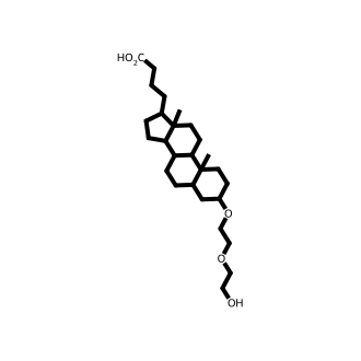 CC12CCC3C(CCC4CC(OCCOCCO)CCC43C)C1CCC2CCCC(=O)O